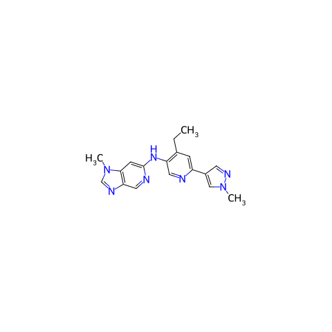 CCc1cc(-c2cnn(C)c2)ncc1Nc1cc2c(cn1)ncn2C